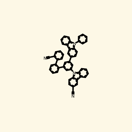 N#Cc1ccc2c(c1)c1ccccc1n2-c1cc(-c2ccc3c(c2)c2ccccc2n3-c2ccccc2)cc(-c2ccccc2-c2ccccc2C#N)c1